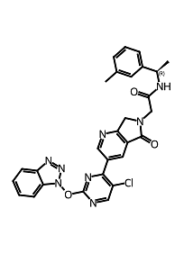 Cc1cccc([C@@H](C)NC(=O)CN2Cc3ncc(-c4nc(On5nnc6ccccc65)ncc4Cl)cc3C2=O)c1